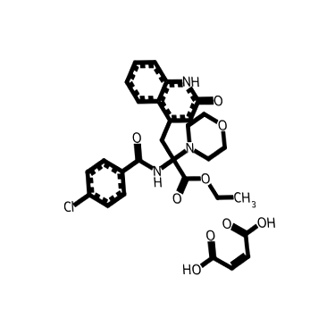 CCOC(=O)C(Cc1cc(=O)[nH]c2ccccc12)(NC(=O)c1ccc(Cl)cc1)N1CCOCC1.O=C(O)/C=C\C(=O)O